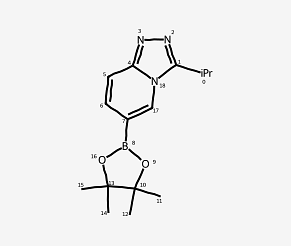 CC(C)c1nnc2ccc(B3OC(C)(C)C(C)(C)O3)cn12